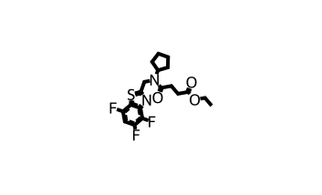 CCOC(=O)CCC(=O)N(Cc1nc2c(F)c(F)cc(F)c2s1)C1CCCC1